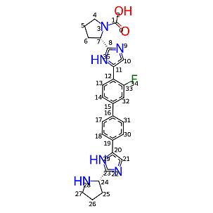 O=C(O)N1CCC[C@H]1c1ncc(-c2ccc(-c3ccc(-c4cnc([C@@H]5CCCN5)[nH]4)cc3)cc2F)[nH]1